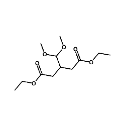 CCOC(=O)CC(CC(=O)OCC)C(OC)OC